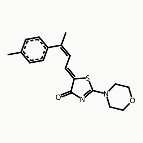 CC(=CC=C1SC(N2CCOCC2)=NC1=O)c1ccc(C)cc1